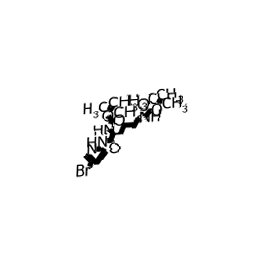 CC(C)(C)OC(=O)NCCCC[C@H](NC(=O)OC(C)(C)C)C(=O)Nc1ccc(Br)cn1